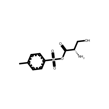 Cc1ccc(S(=O)(=O)OC(=O)[C@@H](N)CO)cc1